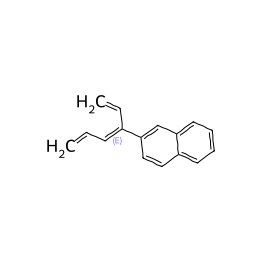 C=C/C=C(\C=C)c1ccc2ccccc2c1